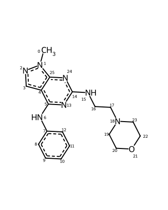 Cn1ncc2c(Nc3ccccc3)nc(NCCN3CCOCC3)nc21